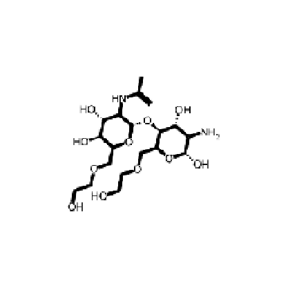 C=C(C)NC1[C@H](O[C@@H]2C(COCCO)O[C@@H](O)C(N)[C@H]2O)OC(COCCO)[C@@H](O)[C@@H]1O